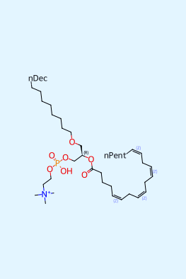 CCCCC/C=C\C/C=C\C/C=C\C/C=C\CCCC(=O)O[C@H](COCCCCCCCCCCCCCCCCCC)COP(=O)(O)OCC[N+](C)(C)C